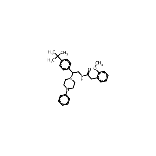 COc1ccccc1CC(=O)NCC(c1ccc(C(C)(C)C)cc1)N1CCN(c2ccccc2)CC1